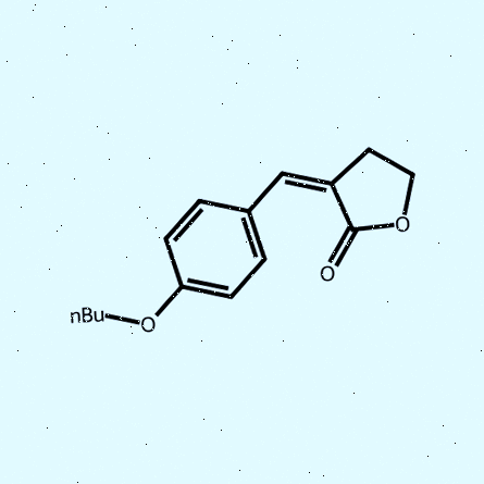 CCCCOc1ccc(C=C2CCOC2=O)cc1